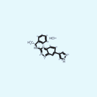 C[C@@H](Nc1nnc2cc(-c3cn[nH]c3)ccc2n1)c1ccccc1.Cl